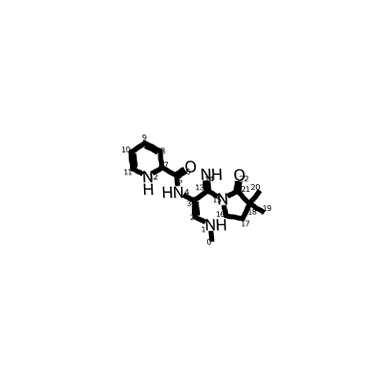 CN/C=C(/NC(=O)C1C=CC=CN1)C(=N)N1CCC(C)(C)C1=O